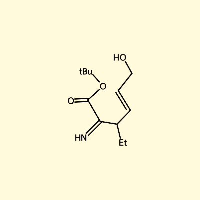 CCC(C=CCO)C(=N)C(=O)OC(C)(C)C